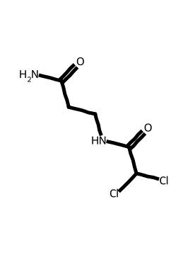 NC(=O)CCNC(=O)C(Cl)Cl